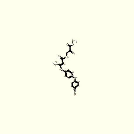 COC(=O)C(=O)COC(=O)CC(C)Oc1ccc(Oc2ccc(Cl)cc2)cc1